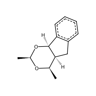 C[C@@H]1O[C@H](C)[C@@H]2Cc3ccccc3[C@@H]2O1